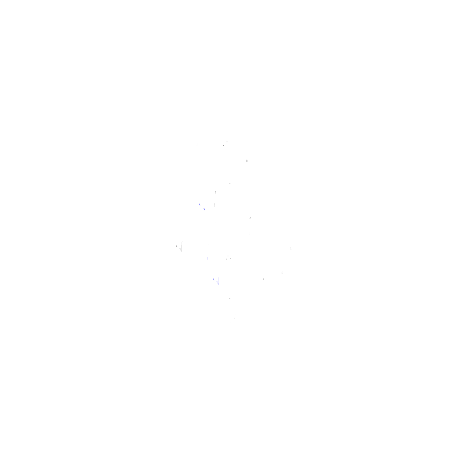 CC1(C)Cc2ccccc2/C(=C(/C#N)C(=O)Nc2ccccc2)N1